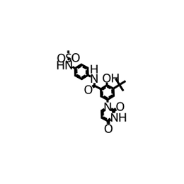 CC(C)(C)c1cc(-n2ccc(=O)[nH]c2=O)cc(C(=O)Nc2ccc(NS(C)(=O)=O)cc2)c1O